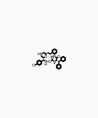 CN(C(=O)O)[C@H](C(=O)Nc1ccccc1CC[C@@H]1CNC[C@@H](C(S)c2ccc(Cl)cc2)O1)C(c1ccccc1)c1ccccc1